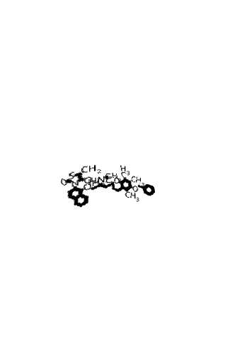 C=C1SC(=O)N(c2ccc3ccccc3c2OCC(CC2(C)CCc3c(C)c(OCc4ccccc4)c(C)c(C)c3O2)NC)C1=O